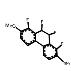 CCCc1ccc2c(c1F)C(F)C(F)c1c-2ccc(OC)c1F